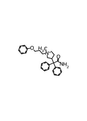 C[N@+]1(CCCOc2ccccc2)CCC(C(C(N)=O)(c2ccccc2)c2ccccc2)C1